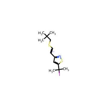 CC(C)(C)CS/C=C/c1cc(C(C)(C)I)sn1